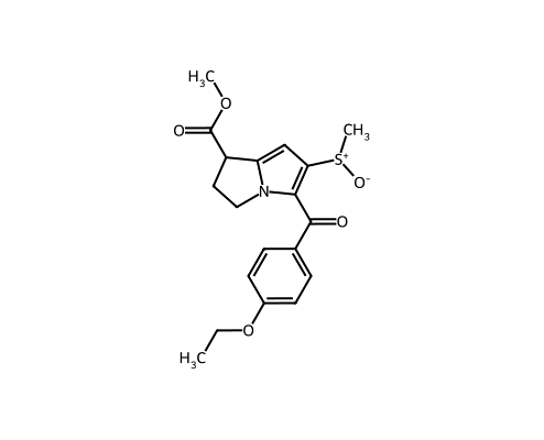 CCOc1ccc(C(=O)c2c([S+](C)[O-])cc3n2CCC3C(=O)OC)cc1